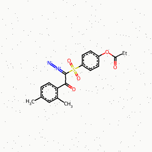 CCC(=O)Oc1ccc(S(=O)(=O)C(=[N+]=[N-])C(=O)c2ccc(C)cc2C)cc1